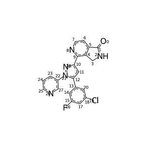 O=C1NCc2c1ccnc2-c1cc(-c2cc(F)cc(Cl)c2)n(-c2cccnc2)n1